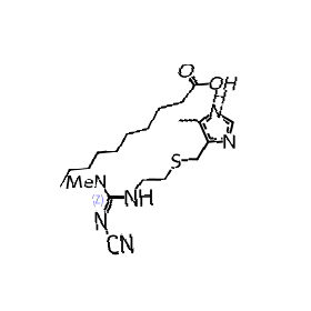 CCCCCCCCCC(=O)O.CN/C(=N/C#N)NCCSCc1nc[nH]c1C